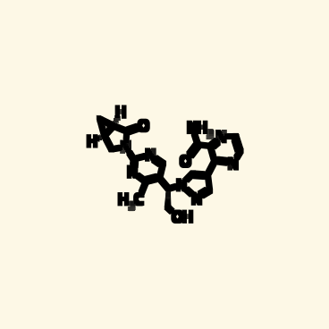 Cc1nc(N2C[C@H]3C[C@H]3C2=O)ncc1[C@H](CO)n1cc(-c2nccnc2C(N)=O)cn1